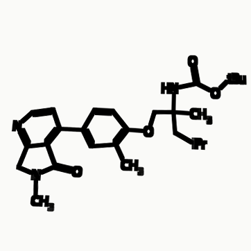 Cc1cc(-c2ccnc3c2C(=O)N(C)C3)ccc1OCC(C)(CC(C)C)NC(=O)OC(C)(C)C